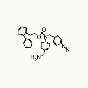 N#[N+]c1ccc(CN(C(=O)OCC2c3ccccc3-c3ccccc32)c2ccc(CN)cc2)cc1